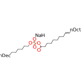 CCCCCCCCC=CCCCCCCCC(=O)OS(=O)(=O)OCCCCCCCCCCCCCCCC.[NaH]